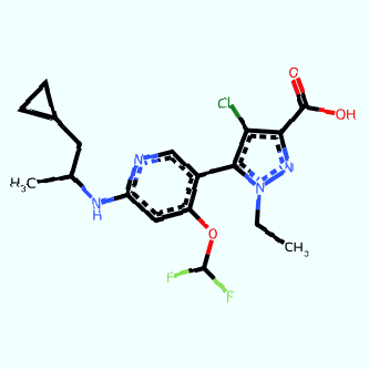 CCn1nc(C(=O)O)c(Cl)c1-c1cnc(NC(C)CC2CC2)cc1OC(F)F